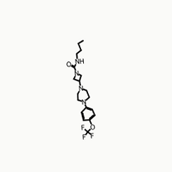 CCCCNC(=O)N1CC(N2CCN(c3ccc(OC(F)(F)F)cc3)CC2)C1